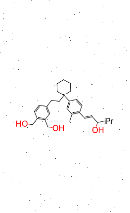 Cc1cc(C2(CCc3ccc(CO)c(CO)c3)CCCCC2)ccc1/C=C/C(O)C(C)C